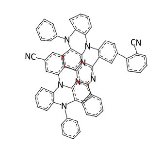 N#Cc1ccc(-c2nc(-c3ccccc3)nc(-c3cc(-c4ccccc4C#N)ccc3N3c4ccccc4N(c4ccccc4)c4ccccc43)n2)c(N2c3ccccc3N(c3ccccc3)c3ccccc32)c1